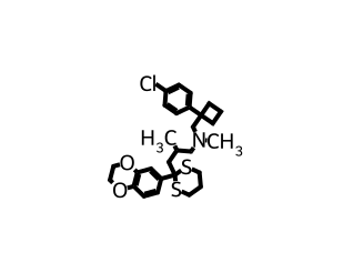 CC(CN(C)CC1(c2ccc(Cl)cc2)CCC1)CC1(c2ccc3c(c2)OCCO3)SCCCS1